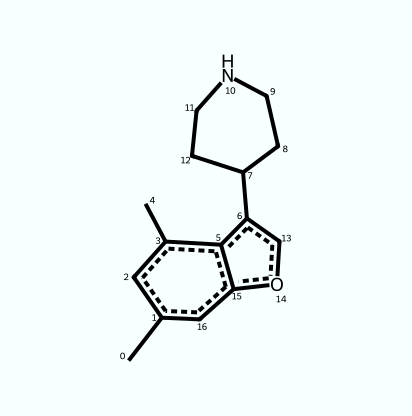 Cc1cc(C)c2c(C3CCNCC3)coc2c1